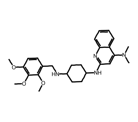 COc1ccc(CNC2CCC(Nc3cc(N(C)C)c4ccccc4n3)CC2)c(OC)c1OC